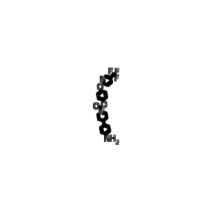 Nc1ccc(C2CCN(C(=O)Oc3ccc(Oc4ccc(C(F)(F)F)cn4)cc3)CC2)cc1